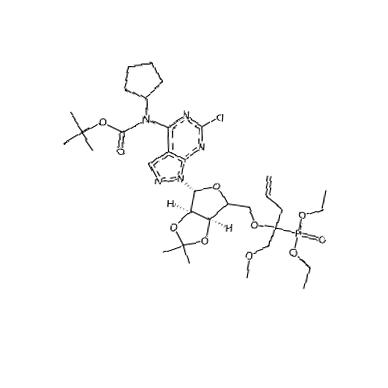 C=CCC(COC)(OCC1O[C@@H](n2ncc3c(N(C(=O)OC(C)(C)C)C4CCCC4)nc(Cl)nc32)[C@@H]2OC(C)(C)O[C@H]12)P(=O)(OCC)OCC